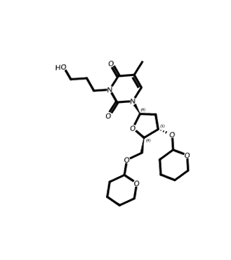 Cc1cn([C@H]2C[C@H](OC3CCCCO3)[C@@H](COC3CCCCO3)O2)c(=O)n(CCCO)c1=O